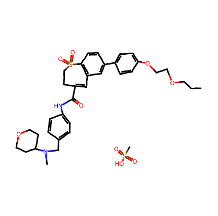 CCCOCCOc1ccc(-c2ccc3c(c2)C=C(C(=O)Nc2ccc(CN(C)C4CCOCC4)cc2)CCS3(=O)=O)cc1.CS(=O)(=O)O